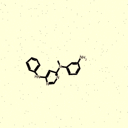 CN(c1cccc(N)c1)c1cc(Nc2ccccc2)ncn1